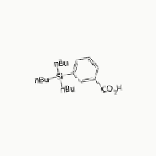 CCCC[Si](CCCC)(CCCC)c1cccc(C(=O)O)c1